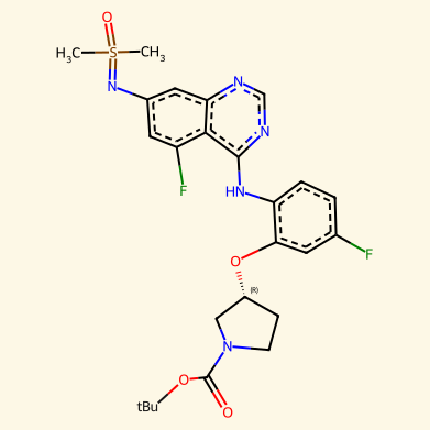 CC(C)(C)OC(=O)N1CC[C@@H](Oc2cc(F)ccc2Nc2ncnc3cc(N=S(C)(C)=O)cc(F)c23)C1